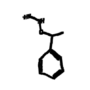 CC(ON[NH])c1ccccc1